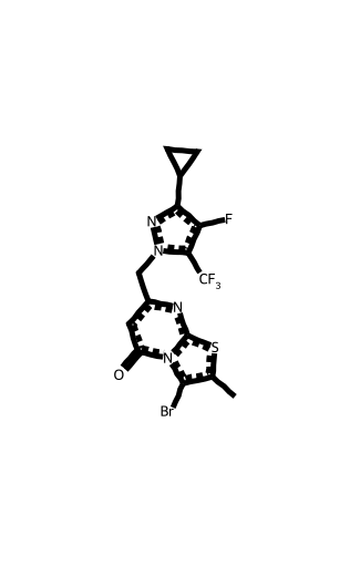 Cc1sc2nc(Cn3nc(C4CC4)c(F)c3C(F)(F)F)cc(=O)n2c1Br